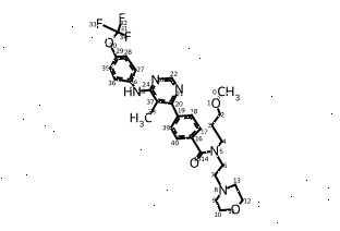 COCCCN(CCN1CCOCC1)C(=O)c1ccc(-c2ncnc(Nc3ccc(OC(F)(F)F)cc3)c2C)cc1